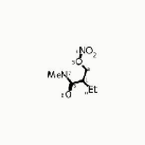 CCC(CO[N+](=O)[O-])C(=O)NC